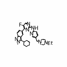 CCN1CCN(Cc2ccc(Nc3ncc(F)c(-c4ccc5nn(C)c(C6CCCCC6)c5c4)n3)nc2)CC1